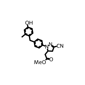 COC(=O)CC1CC(C#N)=NN1c1ccc(Cc2ccc(O)cc2C)cc1